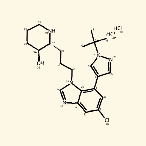 CC(C)(C)n1cc(-c2cc(Cl)cc3ncn(CCC[C@H]4NCCC[C@@H]4O)c23)cn1.Cl.Cl